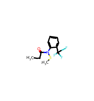 CCC(=O)N(SC)c1ccccc1C(F)(F)F